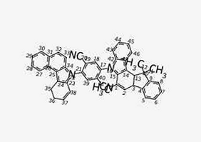 CC1=CC2c3ccccc3C(C)(C)C2c2c1n(-c1cc(C#N)c(-n3c4c(c5c6ccccc6ccc53)CCC=C4)cc1C#N)c1ccccc21